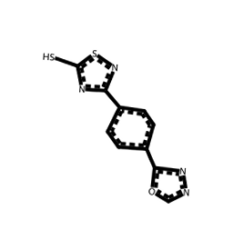 Sc1nc(-c2ccc(-c3nnco3)cc2)ns1